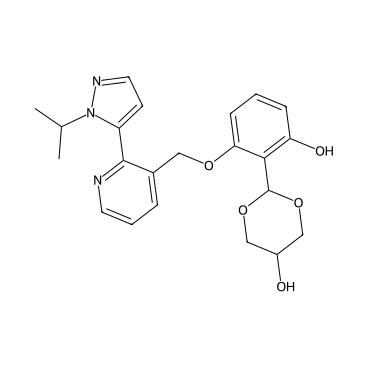 CC(C)n1nccc1-c1ncccc1COc1cccc(O)c1C1OCC(O)CO1